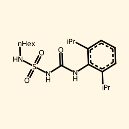 CCCCCCNS(=O)(=O)NC(=O)Nc1c(C(C)C)cccc1C(C)C